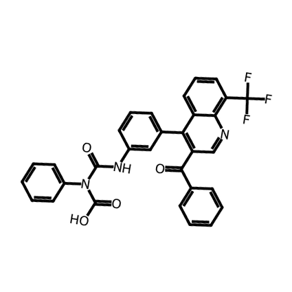 O=C(c1ccccc1)c1cnc2c(C(F)(F)F)cccc2c1-c1cccc(NC(=O)N(C(=O)O)c2ccccc2)c1